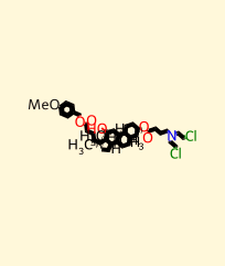 COc1ccc(COC(=O)CC[C@@H](C)[C@H]2CC[C@H]3[C@@H]4CC[C@@H]5C[C@H](OC(=O)CCCN(CCCl)CCCl)CC[C@]5(C)[C@H]4C[C@H](O)[C@]23C)cc1